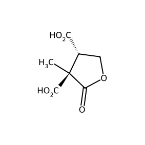 C[C@@]1(C(=O)O)C(=O)OC[C@H]1C(=O)O